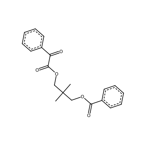 CC(C)(COC(=O)C(=O)c1ccccc1)COC(=O)c1ccccc1